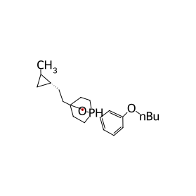 CCCCOc1cccc([PH]23CCC(CC[C@@H]4CC4C)(CC2)CO3)c1